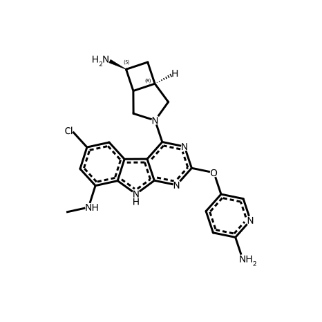 CNc1cc(Cl)cc2c1[nH]c1nc(Oc3ccc(N)nc3)nc(N3CC4[C@@H](C[C@@H]4N)C3)c12